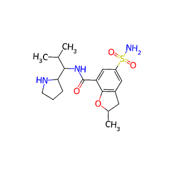 CC1Cc2cc(S(N)(=O)=O)cc(C(=O)NC(C(C)C)C3CCCN3)c2O1